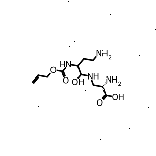 C=CCOC(=O)NC(CCN)C(O)NC[C@H](N)C(=O)O